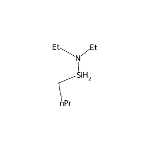 CCCC[SiH2]N(CC)CC